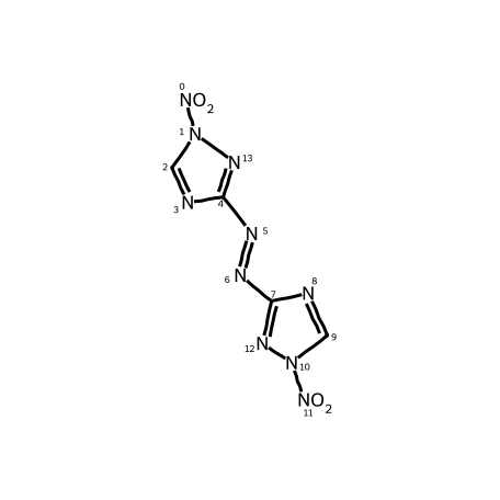 O=[N+]([O-])n1cnc(N=Nc2ncn([N+](=O)[O-])n2)n1